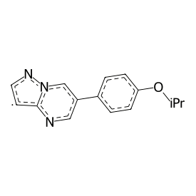 CC(C)Oc1ccc(-c2cnc3[c]cnn3c2)cc1